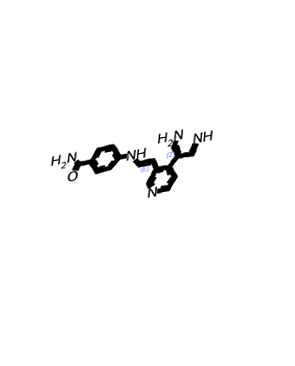 N=C/C(=C\N)c1ccncc1/C=C/Nc1ccc(C(N)=O)cc1